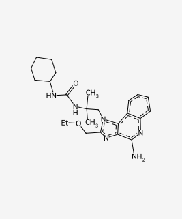 CCOCc1nc2c(N)nc3ccccc3c2n1CC(C)(C)NC(=O)NC1CCCCC1